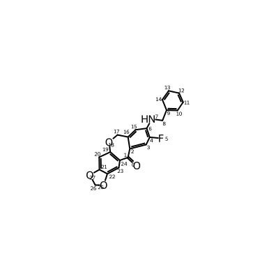 O=C1c2cc(F)c(NCc3ccccc3)cc2COc2cc3c(cc21)OCO3